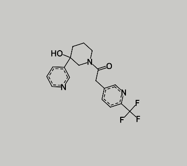 O=C(Cc1ccc(C(F)(F)F)nc1)N1CCCC(O)(c2cccnc2)C1